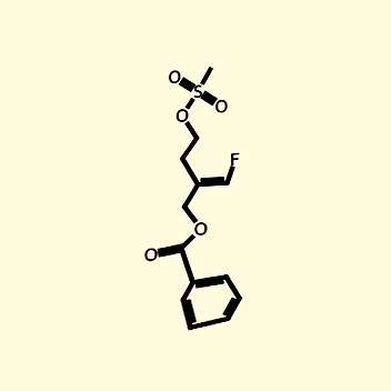 CS(=O)(=O)OCCC(=CF)COC(=O)c1ccccc1